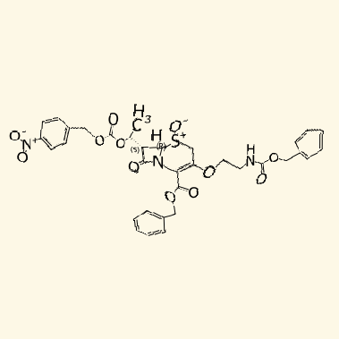 CC(OC(=O)OCc1ccc([N+](=O)[O-])cc1)[C@H]1C(=O)N2C(C(=O)OCc3ccccc3)=C(OCCNC(=O)OCc3ccccc3)C[S+]([O-])[C@H]12